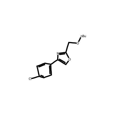 CCCCOCc1nc(-c2ccc(Cl)cc2)co1